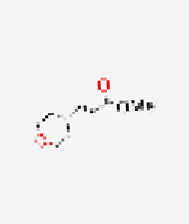 COC(=O)/C=C/C1CCOCC1